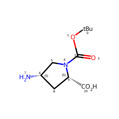 CC(C)(C)OC(=O)N1C[C@@H](N)C[C@H]1C(=O)O